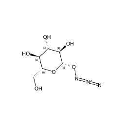 [N-]=[N+]=NO[C@@H]1O[C@H](CO)[C@@H](O)[C@H](O)[C@H]1O